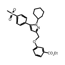 CCOC(=O)c1cccc(OCc2cc(-c3ccc(S(C)(=O)=O)cc3)n(C3CCCCC3)n2)c1